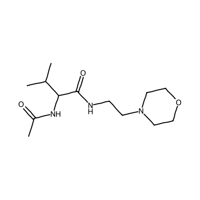 CC(=O)NC(C(=O)NCCN1CCOCC1)C(C)C